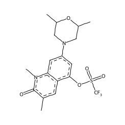 Cc1cc2c(OS(=O)(=O)C(F)(F)F)cc(N3CC(C)OC(C)C3)cc2n(C)c1=O